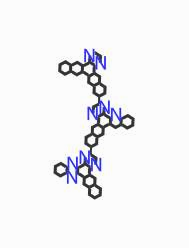 c1ccc2cc3c(cc2c1)c1cc2cc(-c4cnc5c6cc7ccc(-c8cnc9c%10cc%11ccccc%11cc%10c%10nc%11ccccc%11nc%10c9n8)cc7cc6c6cc7ccccc7nc6c5n4)ccc2cc1c1nccnc31